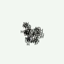 COC1C(COP(=O)(O)OP(=O)(O)OP(=O)(O)OCC2OC(n3cnc4c(N)ncnc43)C(OC)C2OP([O-])(=S)OCC2OC(n3cnc4c(=O)[nH]c(N)nc43)C(O)C2OP(=O)(O)OCC2OC(n3cnc4c(=O)[nH]c(N)nc43)C(O)C2O)OC(n2c[n+](C)c3c(=O)[nH]c(N)nc32)C1O